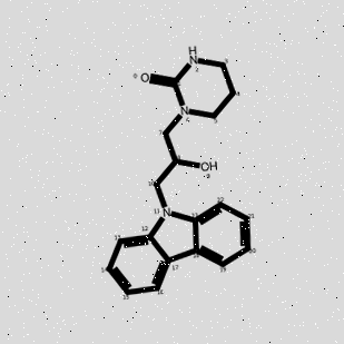 O=C1NCCCN1CC(O)Cn1c2ccccc2c2ccccc21